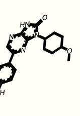 COC1CCC(n2c(=O)[nH]c3ncc(-c4ccc(O)cc4)nc32)CC1